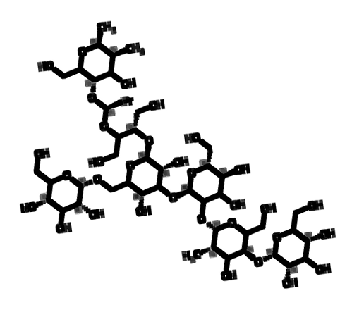 CC(C)[C@@H](OC(CO)[C@H](CO)O[C@@H]1OC(CO[C@H]2OC(CO)[C@@H](O)C(O)[C@H]2O)[C@@H](O)C(O[C@H]2O[C@H](CO)[C@@H](O)C(O)C2O[C@@H]2OC(CO)[C@@H](O[C@@H]3OC(CO)[C@H](O)C(O)[C@@H]3O)C(O)[C@@H]2C)[C@H]1O)O[C@@H]1C(CO)O[C@@H](C)[C@@H](C)C1O